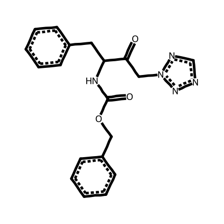 O=C(NC(Cc1ccccc1)C(=O)Cn1ncnn1)OCc1ccccc1